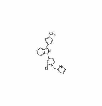 O=c1cc(-c2nn(-c3ccc(C(F)(F)F)cc3)c3ccccc23)ccn1Cc1ccccn1